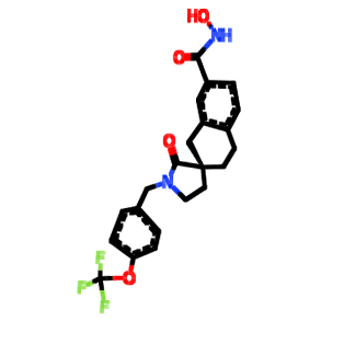 O=C(NO)c1ccc2c(c1)C[C@@]1(CC2)CCN(Cc2ccc(OC(F)(F)F)cc2)C1=O